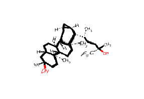 CC[C@]1(O)CC[C@@]2(C)[C@@H](CC[C@H]3[C@@H]4[C@H]5C[C@H]5[C@H]([C@H](C)CC[C@@](C)(O)C(F)(F)F)[C@@]4(C)CC[C@@H]32)C1